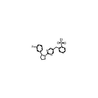 CCS(=O)(=O)c1ccccc1[CH]c1cnc(N2CCCC2c2cccc(F)c2)nc1